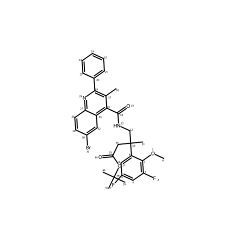 COc1c(F)cc(F)cc1C(C)(CNC(=O)c1c(C)c(-c2ccccc2)nc2ccc(Br)cc12)CC(=O)OC(C)(C)C